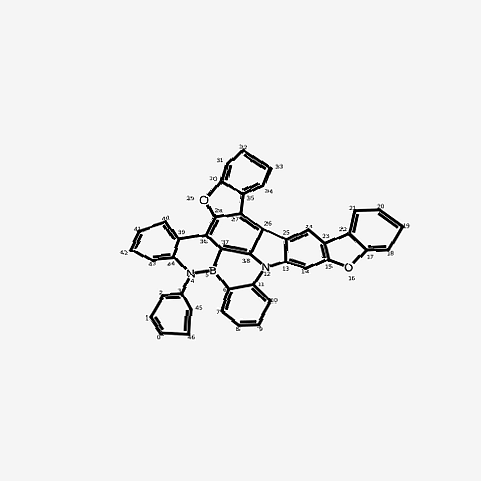 c1ccc(N2B3c4ccccc4-n4c5cc6oc7ccccc7c6cc5c5c6c(oc7ccccc76)c(c3c54)-c3ccccc32)cc1